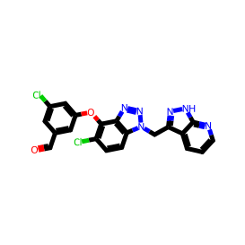 O=Cc1cc(Cl)cc(Oc2c(Cl)ccc3c2nnn3Cc2n[nH]c3ncccc23)c1